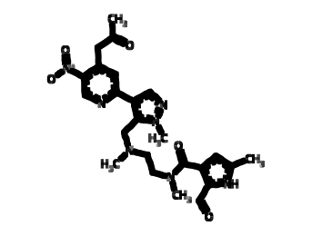 CC(=O)Cc1cc(-c2cnn(C)c2CN(C)CCN(C)C(=O)c2cc(C)[nH]c2C=O)ncc1[N+](=O)[O-]